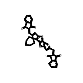 S=C1C(=CC2=Cc3sc4c(sc5cc(C=C6C(=S)c7ccccc7C6=S)sc54)c3C23CCCCC3)C(=S)c2ccccc21